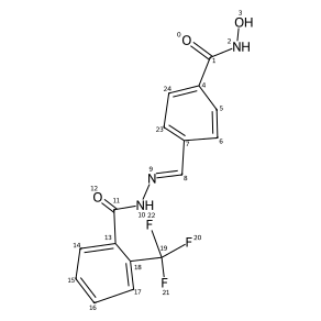 O=C(NO)c1ccc(/C=N/NC(=O)c2ccccc2C(F)(F)F)cc1